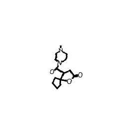 CN1CCN(C(=O)C2CC(=O)OC23CCCC3)CC1